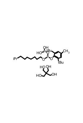 Cc1cc(C(C)(C)C)c(OP(OCCCCCCCC(C)C)OP(O)O)c(C(C)(C)C)c1.OCC(CO)(CO)CO